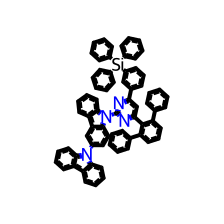 c1ccc(-c2cccc(-c3ccccc3)c2-c2cc(-c3cccc([Si](c4ccccc4)(c4ccccc4)c4ccccc4)c3)nc(-n3c4ccccc4c4cc(-n5c6ccccc6c6ccccc65)ccc43)n2)cc1